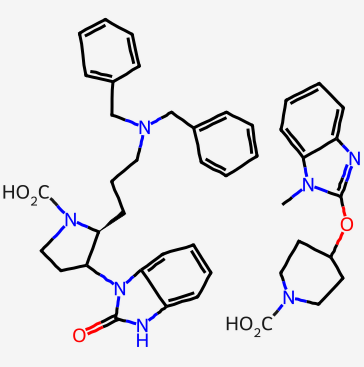 Cn1c(OC2CCN(C(=O)O)CC2)nc2ccccc21.O=C(O)N1CCC(n2c(=O)[nH]c3ccccc32)[C@@H]1CCCN(Cc1ccccc1)Cc1ccccc1